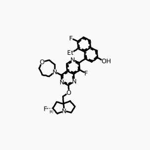 CCc1c(F)ccc2cc(O)cc(-c3ncc4c(N5CCCOCC5)nc(OCC56CCCN5C[C@H](F)C6)nc4c3F)c12